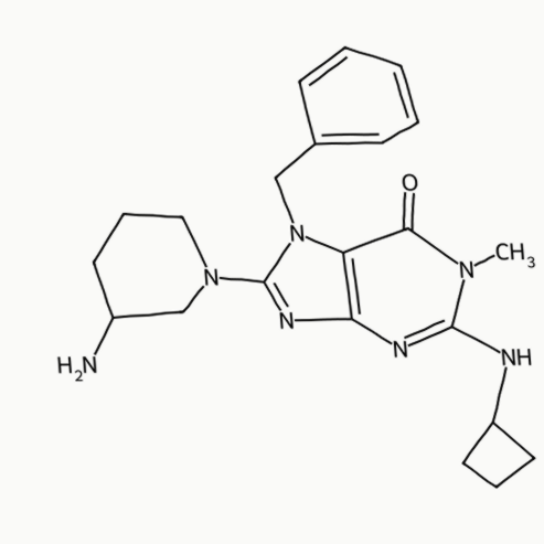 Cn1c(NC2CCC2)nc2nc(N3CCCC(N)C3)n(Cc3ccccc3)c2c1=O